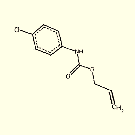 C=CCOC(=O)Nc1c[c]c(Cl)cc1